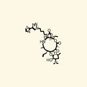 C=CC[C@H]1C[C@@H](C)CN[C@H](C)[C@H]2N(CCCCn3cc(-c4nccs4)nn3)C(=O)O[C@]2(C)[C@@H](CC)OC(=O)[C@H](C)C(=O)[C@H](C)[C@H]1O[C@@H]1OC(C)CC(N(C)C)C1O